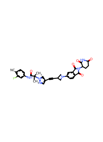 CC(C)(C(=O)Nc1ccc(C#N)c(F)c1)n1cc(C#CC2CN(c3ccc4c(c3)C(=O)N(C3CCC(=O)NC3=O)C4=O)C2)cn1